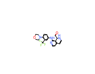 O=CC1NC=Cc2ccnc(Nc3ccc(N4CCOCC4)c(C(F)(F)F)c3)c21